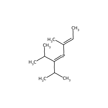 C/C=C(\C)P=C(C(C)C)C(C)C